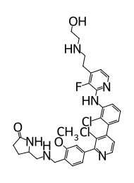 COc1cc(-c2nccc(-c3cccc(Nc4nccc(CCNCCO)c4F)c3Cl)c2Cl)ccc1CNCC1CCC(=O)N1